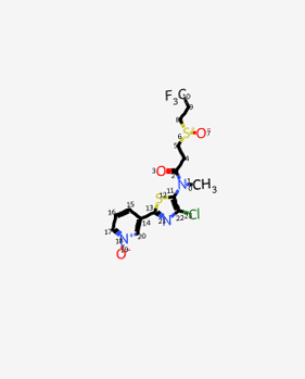 CN(C(=O)CC[S+]([O-])CCC(F)(F)F)c1sc(-c2ccc[n+]([O-])c2)nc1Cl